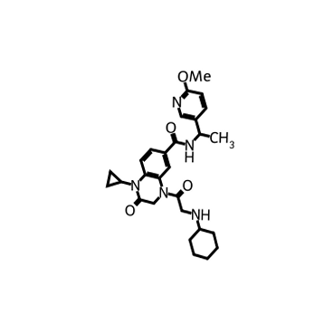 COc1ccc(C(C)NC(=O)c2ccc3c(c2)N(C(=O)CNC2CCCCC2)CC(=O)N3C2CC2)cn1